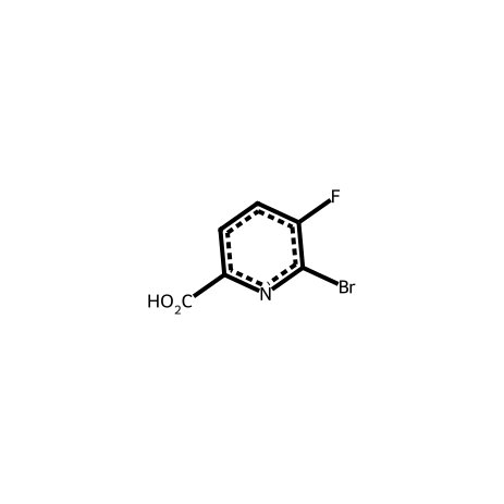 O=C(O)c1ccc(F)c(Br)n1